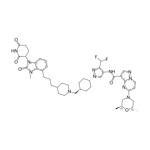 C[C@H]1CN(c2ccn3ncc(C(=O)Nc4cn([C@H]5CC[C@H](CN6CCC(CCCc7cccc8c7n(C)c(=O)n8C7CCC(=O)NC7=O)CC6)CC5)nc4C(F)F)c3n2)C[C@H](C)O1